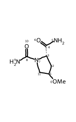 COC1C[C@@H](C(N)=O)N(C(N)=O)C1